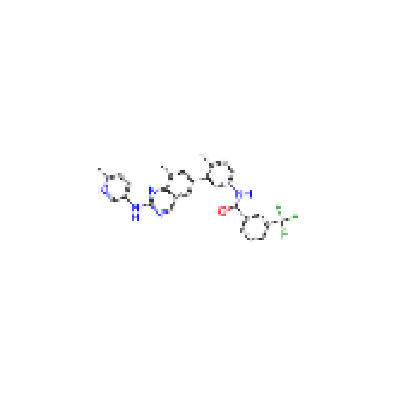 Cc1ccc(Nc2ncc3cc(-c4cc(NC(=O)c5cccc(C(F)(F)F)c5)ccc4C)cc(C)c3n2)cn1